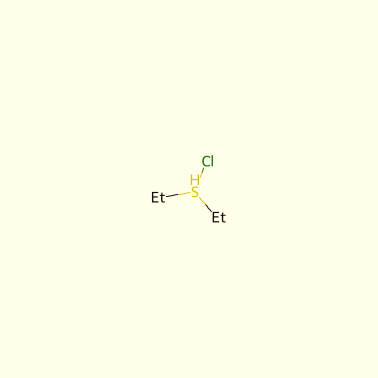 CC[SH](Cl)CC